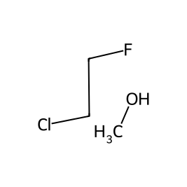 CO.FCCCl